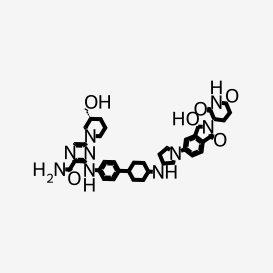 NC(=O)c1ncc(N2CCC[C@@H](CO)C2)nc1Nc1ccc(C2CCC(N[C@@H]3CCN(c4ccc5c(c4)C(O)N(C4CCC(=O)NC4=O)C5=O)C3)CC2)cc1